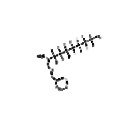 O=C(O)C(=CC=Cc1ccccc1)C(F)(F)C(F)(F)C(F)(F)C(F)(F)C(F)(F)C(F)(F)C(F)(F)C(F)(F)F